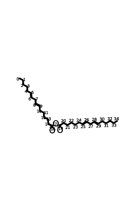 CCCCCC=CCC=CCCCCCC(=O)OC(=O)CCCCCC=CCC=CCCCCC